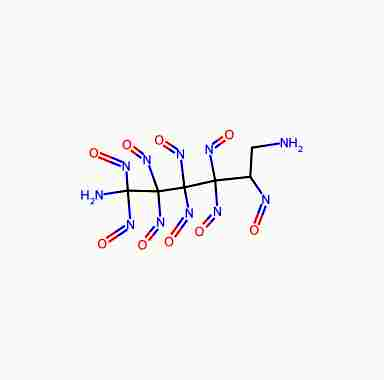 NCC(N=O)C(N=O)(N=O)C(N=O)(N=O)C(N=O)(N=O)C(N)(N=O)N=O